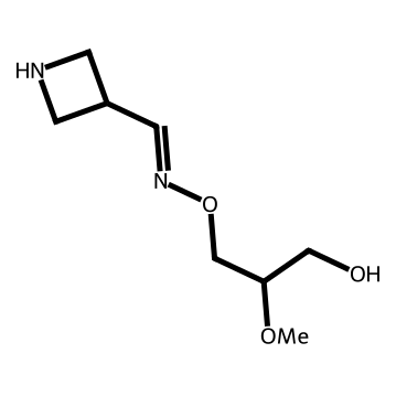 COC(CO)CON=CC1CNC1